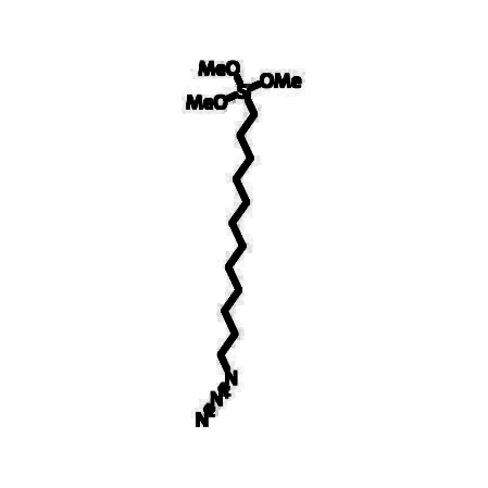 CO[Si](CCCCCCCCCCCCN=[N+]=[N-])(OC)OC